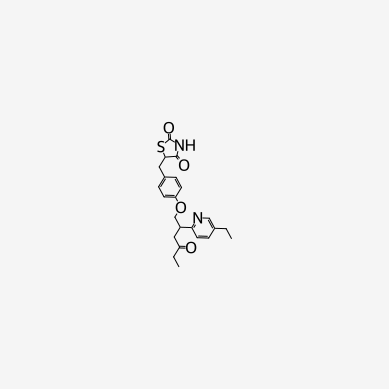 CCC(=O)CC(COc1ccc(CC2SC(=O)NC2=O)cc1)c1ccc(CC)cn1